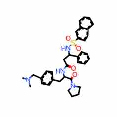 CN(C)Cc1ccc(CC(NC(=O)CC(NS(=O)(=O)c2ccc3ccccc3c2)c2ccccc2)C(=O)N2CCCC2)cc1